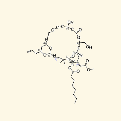 C=CC[C@H]1C[C@H]2CCOCC[C@@H](O)CC(=O)O[C@@H](CO)C[C@@H]3C/C(=C\C(=O)OC)[C@H](OC(=O)CCCCCCC)[C@@](O)(O3)C(C)(C)/C=C/[C@H](O2)O1